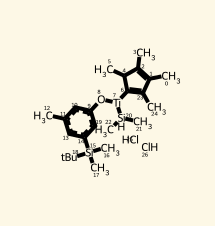 CC1=C(C)C(C)[C]([Ti]([O]c2cc(C)cc([Si](C)(C)C(C)(C)C)c2)[SiH](C)C)=C1C.Cl.Cl